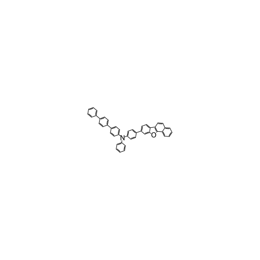 c1ccc(-c2ccc(-c3ccc(N(c4ccccc4)c4ccc(-c5ccc6c(c5)oc5c7ccccc7ccc65)cc4)cc3)cc2)cc1